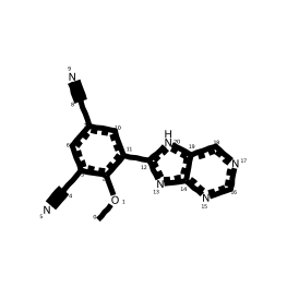 COc1c(C#N)cc(C#N)cc1-c1nc2ncncc2[nH]1